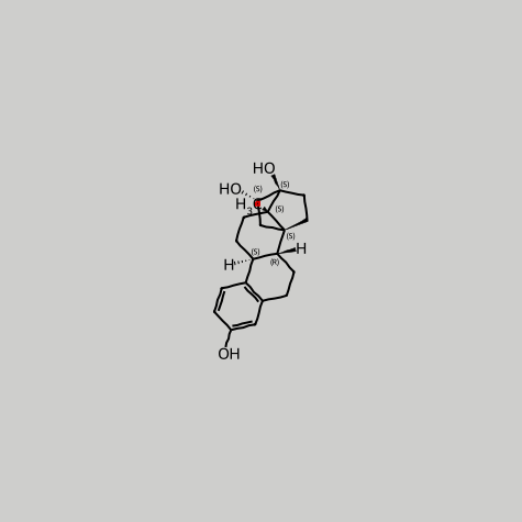 C[C@]12CC[C@@H]3c4ccc(O)cc4CC[C@H]3[C@@]13CC[C@@]2(O)[C@@H](O)C3